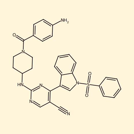 N#Cc1cnc(NC2CCN(C(=O)c3ccc(N)cc3)CC2)nc1-c1cn(S(=O)(=O)c2ccccc2)c2ccccc12